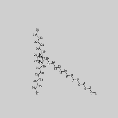 CCCCCCCCCCCCCCCCCc1n(CCCCCCC)cc[n+]1CCCCCCCCC